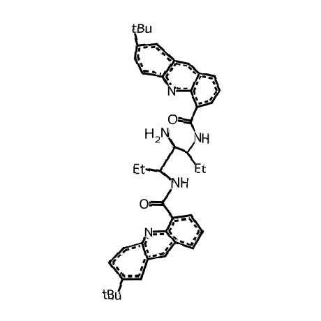 CCC(NC(=O)c1cccc2cc3cc(C(C)(C)C)ccc3nc12)C(N)C(CC)NC(=O)c1cccc2cc3cc(C(C)(C)C)ccc3nc12